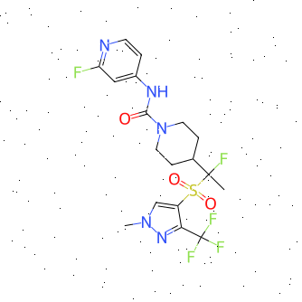 Cn1cc(S(=O)(=O)C(C)(F)C2CCN(C(=O)Nc3ccnc(F)c3)CC2)c(C(F)(F)F)n1